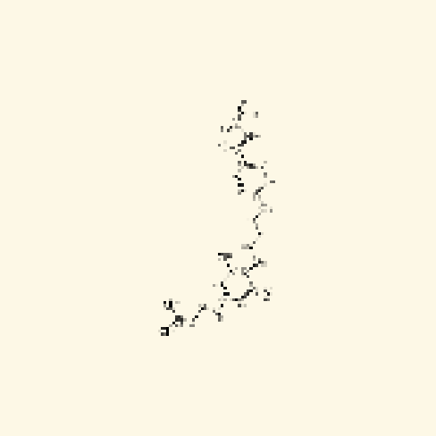 Cc1csc(-c2ccc(OCCCOc3c(Cl)cc(OCC=C(Cl)Cl)cc3Cl)cc2)n1